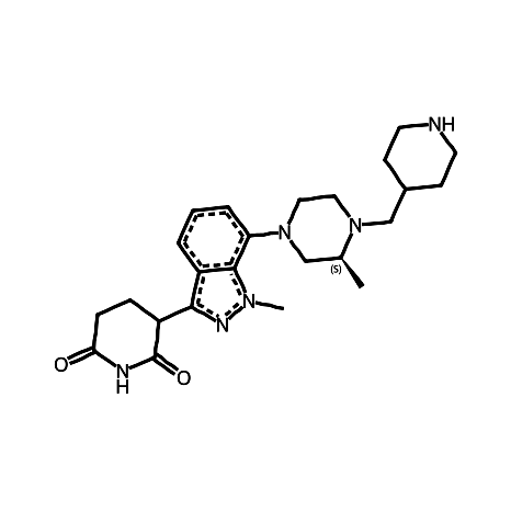 C[C@H]1CN(c2cccc3c(C4CCC(=O)NC4=O)nn(C)c23)CCN1CC1CCNCC1